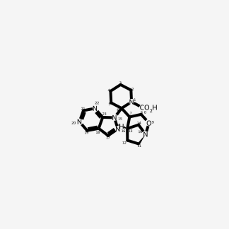 O=C(O)N1CCCCC1(C1CO[N@@]2CC[C@@H]1C2)n1ncc2cncnc21